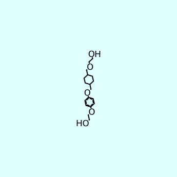 OCCOCC1CCC(COc2ccc(OCCO)cc2)CC1